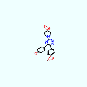 COc1ccc(-c2nnc(N3CCC(O)CC3)nc2-c2ccc(OC)cc2)cc1